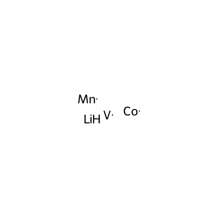 [Co].[LiH].[Mn].[V]